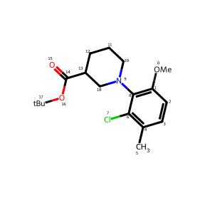 COc1ccc(C)c(Cl)c1N1CCCC(C(=O)OC(C)(C)C)C1